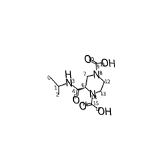 CC(C)NC(=O)[C@H]1CN(C(=O)O)CCN1C(=O)O